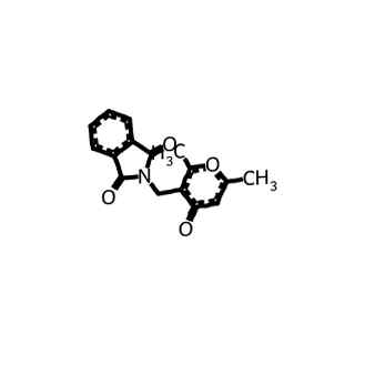 Cc1cc(=O)c(CN2C(=O)c3ccccc3C2=O)c(C)o1